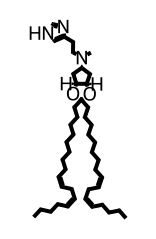 CCCC/C=C\C/C=C\CCCCCCCCC1(CCCCCCCC/C=C\C/C=C\CCCC)O[C@H]2C[C@@H](N(C)CCc3c[nH]cn3)C[C@H]2O1